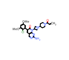 C=CC(=O)N1CCC(N2CC(n3c(=O)c(-c4cc(OC)cc(OC)c4Cl)cc4cnc(N)nc43)C2)CC1